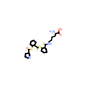 N[C@@H](CCCCNC(=S)c1ccccc1SC(=S)c1ccccc1SC(=O)c1cccnc1)C(=O)O